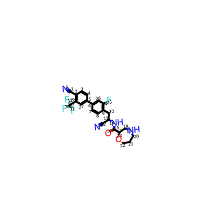 N#Cc1ccc(-c2ccc(CC(C#N)NC(=O)C3CNCCCO3)c(F)c2)cc1C(F)(F)F